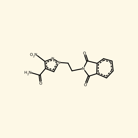 NC(=O)c1cn(CCN2C(=O)c3ccccc3C2=O)nc1[N+](=O)[O-]